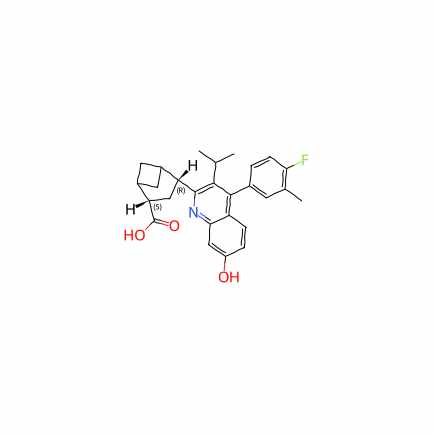 Cc1cc(-c2c(C(C)C)c([C@@H]3C[C@H](C(=O)O)C4CC3C4)nc3cc(O)ccc23)ccc1F